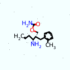 C=CC[C@@H](N)[C@H](COC(N)=O)Cc1ccccc1C